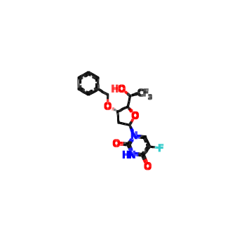 O=c1[nH]c(=O)n([C@H]2C[C@H](OCc3ccccc3)[C@@H]([C@@H](O)C(F)(F)F)O2)cc1F